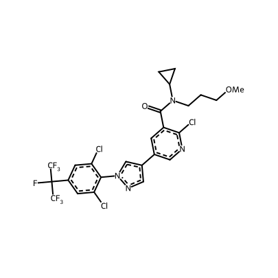 COCCCN(C(=O)c1cc(-c2cnn(-c3c(Cl)cc(C(F)(C(F)(F)F)C(F)(F)F)cc3Cl)c2)cnc1Cl)C1CC1